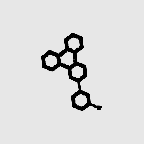 Brc1cccc(-c2ccc3c4ccccc4c4ccccc4c3c2)c1